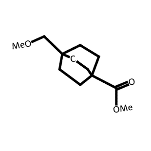 COCC12CCC(C(=O)OC)(CC1)CC2